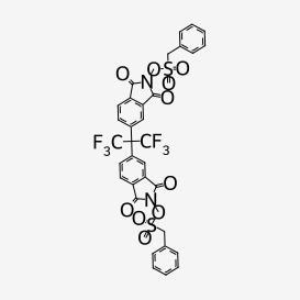 O=C1c2ccc(C(c3ccc4c(c3)C(=O)N(OS(=O)(=O)Cc3ccccc3)C4=O)(C(F)(F)F)C(F)(F)F)cc2C(=O)N1OS(=O)(=O)Cc1ccccc1